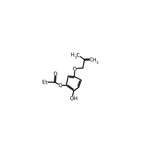 C=C(C)COc1ccc(O)c(OC(=O)CC)c1